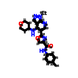 CCn1ncc2c(NC3CCOCC3)c(-c3nc(C(=O)Nc4ccc(C)cc4)co3)cnc21